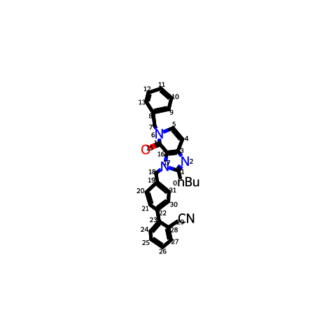 CCCCc1nc2ccn(Cc3ccccc3)c(=O)c2n1Cc1ccc(-c2ccccc2C#N)cc1